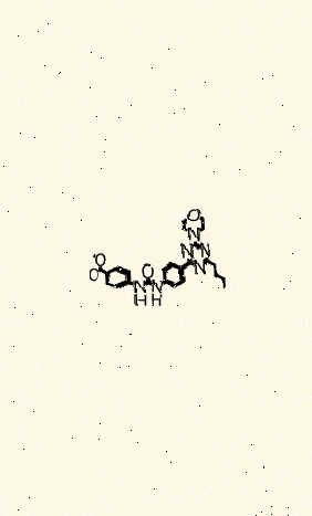 CCCCc1nc(-c2ccc(NC(=O)Nc3ccc(C(=O)OC)cc3)cc2)nc(N2CCOCC2)n1